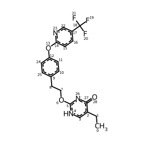 CCc1c[nH]c(OCCc2ccc(Oc3ccc(C(F)(F)F)cn3)cc2)nc1=O